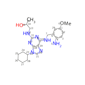 COc1ccc(N)c(CNc2nc(NCC(C)O)nc3c2ncn3C2CCCCC2)c1